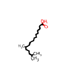 CC(C)CCCC(C)CCCCCCCCCCC(=O)O